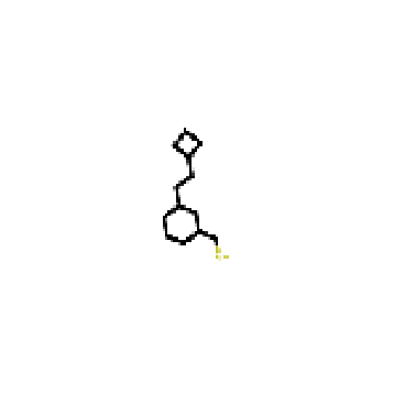 SCC1CCCC(CCC2CCC2)C1